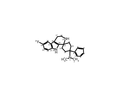 CN(C)C1(c2ccccc2)CCC2(CC1)NCCc1c2[nH]c2ccc(F)cc12